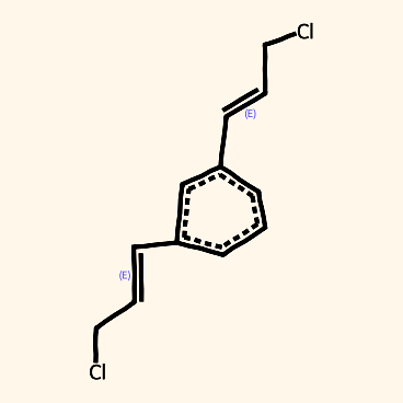 ClC/C=C/c1cccc(/C=C/CCl)c1